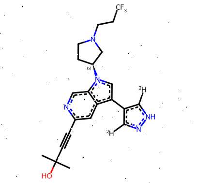 [2H]c1n[nH]c([2H])c1-c1cn([C@H]2CCN(CCC(F)(F)F)C2)c2cnc(C#CC(C)(C)O)cc12